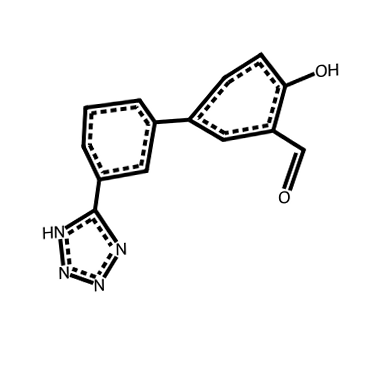 O=Cc1cc(-c2cccc(-c3nnn[nH]3)c2)ccc1O